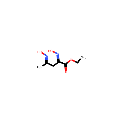 CCOC(=O)C(CC(C)=NO)=NO